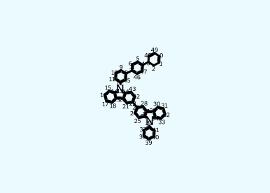 C1=CCC(c2ccc(-c3cccc(-n4c5ccccc5c5cc(-c6ccc7c(c6)c6ccccc6n7-c6ccccc6)ccc54)c3)cc2)C=C1